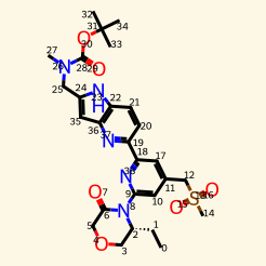 CC[C@@H]1COCC(=O)N1c1cc(CS(C)(=O)=O)cc(-c2ccc3[nH]c(CN(C)C(=O)OC(C)(C)C)cc3n2)n1